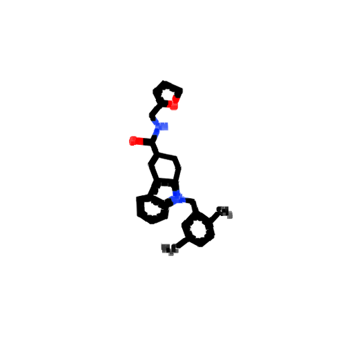 Cc1ccc(C)c(Cn2c3c(c4ccccc42)CC(C(=O)NCc2ccco2)CC3)c1